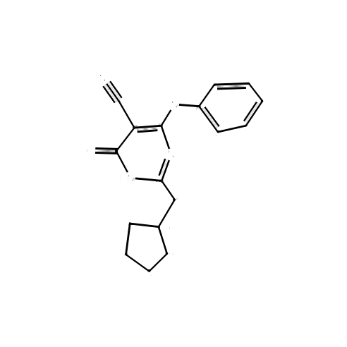 N#Cc1c(Nc2ccccc2)nc(CC2CCCC2)[nH]c1=O